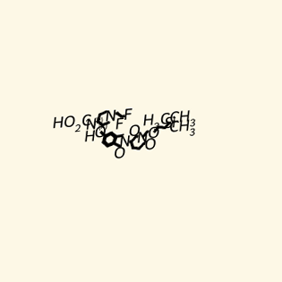 C[Si](C)(C)CCOCN1C(=O)CCC(N2Cc3cc(O[C@@H]4CN(CC(F)F)CC[C@H]4NC(=O)O)ccc3C2=O)C1=O